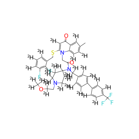 [2H]c1c([2H])c(F)c(F)c(CSc2c([2H])c(=O)c3c([2H])c(C)c([2H])c([2H])c3n2CC(=O)N(C([2H])([2H])c2c([2H])c([2H])c(-c3c([2H])c([2H])c(C(F)(F)F)c([2H])c3[2H])c([2H])c2[2H])C2([2H])C([2H])([2H])C([2H])([2H])N(CC([2H])([2H])OC([2H])([2H])[2H])C([2H])([2H])C2([2H])[2H])c1[2H]